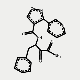 NC(=O)C(=O)C(Cc1ccccc1)NC(=O)c1conc1-c1cccnc1